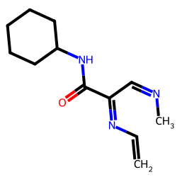 C=C/N=C(\C=N/C)C(=O)NC1CCCCC1